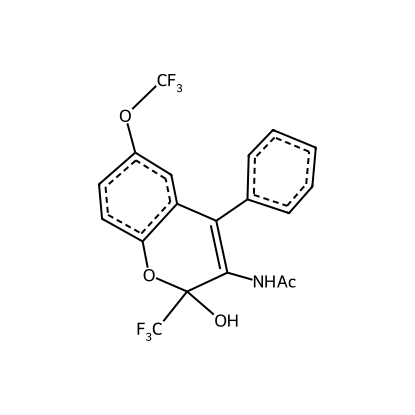 CC(=O)NC1=C(c2ccccc2)c2cc(OC(F)(F)F)ccc2OC1(O)C(F)(F)F